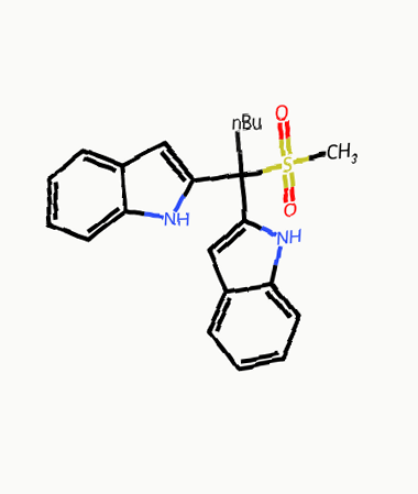 CCCCC(c1cc2ccccc2[nH]1)(c1cc2ccccc2[nH]1)S(C)(=O)=O